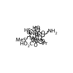 CSCCC(N)C(=O)NC(CS)C(=O)NC(CO)C(=O)NC(CCCCN)C(=O)NC(CC(C)C)C(=O)N1CCCC1C(=O)O